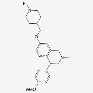 CCN1CCC(COc2ccc3c(c2)CN(C)CC3c2ccc(OC)cc2)CC1